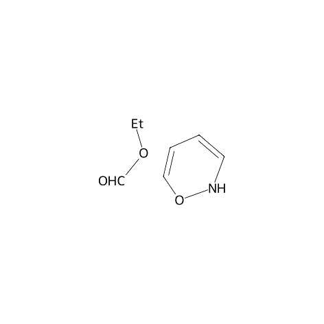 C1=CNOC=C1.CCOC=O